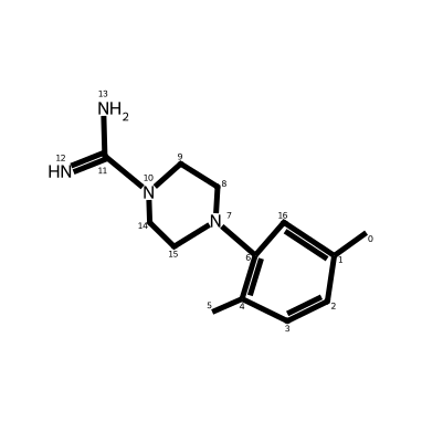 Cc1ccc(C)c(N2CCN(C(=N)N)CC2)c1